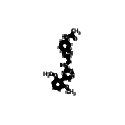 COc1cccc(OC)c1-c1cnnc(NCc2nc3cc(NC(C)=O)ccc3s2)n1